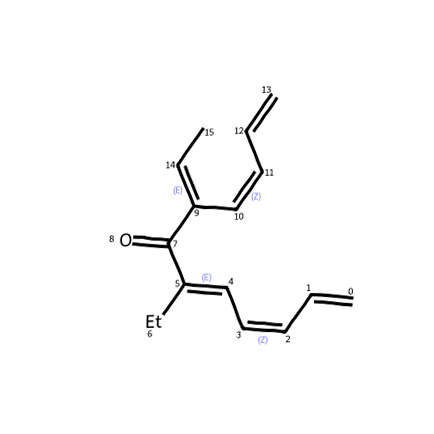 C=C/C=C\C=C(/CC)C(=O)C(/C=C\C=C)=C/C